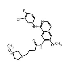 COc1cc2ccnc(Nc3ccc(F)c(Cl)c3)c2cc1NC(=O)CCCN1CC[C@H](OC)C1